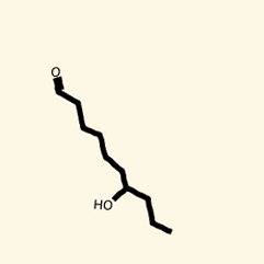 CCCC(O)CCCCCC=O